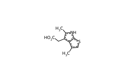 Cc1[nH]c2scc(C)c2c1CC(=O)O